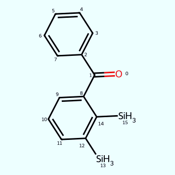 O=C(c1ccccc1)c1cccc([SiH3])c1[SiH3]